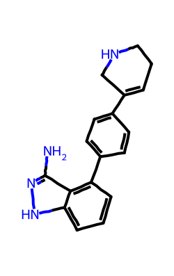 Nc1n[nH]c2cccc(-c3ccc(C4=CCCNC4)cc3)c12